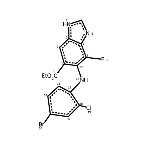 CCOC(=O)c1cc2[nH]cnc2c(F)c1Nc1ccc(Br)cc1Cl